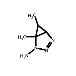 CC1C2N=NN(N)C12C